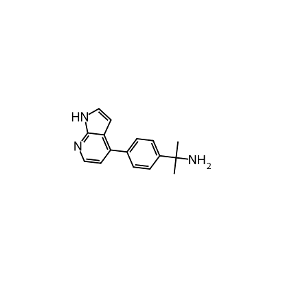 CC(C)(N)c1ccc(-c2ccnc3[nH]ccc23)cc1